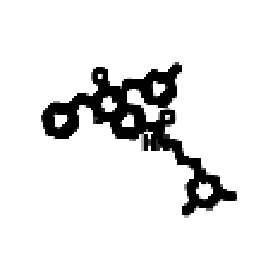 Cc1cccc(CN2C(=O)C(=Cc3ccccc3)Sc3ccc(C(=O)NCCCN4CC(C)CC(C)C4)cc32)c1